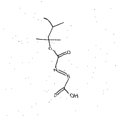 CC(C)C(C)(C)OC(=O)N=NC(=O)O